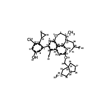 C[C@H]1COc2nc(-c3cc(O)cc(Cl)c3C3CC3)c(F)c3nc(OC[C@@]45CCCN4C[C@H](F)C5)nc(c23)N1CC(F)F